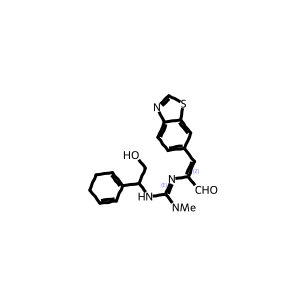 CN/C(=N\C(C=O)=C/c1ccc2ncsc2c1)NC(CO)C1=CCCC=C1